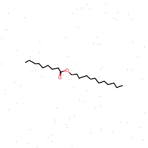 CCCCCCC[CH]C(=O)OCCCCCCCCCCCC